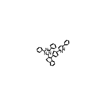 c1ccc(-c2ccc(-c3ccc(-c4c(-c5nc(-c6ccccc6)nc(-c6ccccc6)n5)ccc5ccccc45)cc3)nn2)cc1